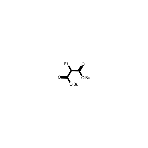 CCC(C(=O)OCC(C)C)C(=O)OCC(C)C